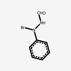 O=CNN(Br)c1ccccc1